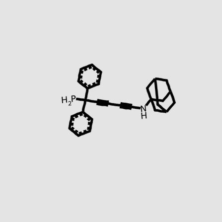 PC(C#CC#CNC12CC3CC(CC(C3)C1)C2)(c1ccccc1)c1ccccc1